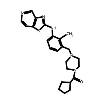 Cc1c(CN2CCN(C(=O)C3CCCC3)CC2)cccc1Nc1nc2cnccc2s1